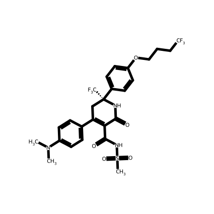 CN(C)c1ccc(C2=C(C(=O)NS(C)(=O)=O)C(=O)N[C@@](c3ccc(OCCCC(F)(F)F)cc3)(C(F)(F)F)C2)cc1